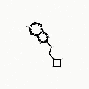 c1cc2[nH]c(SCC3CCC3)nc2cn1